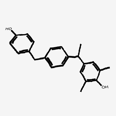 Cc1cc(C(C)c2ccc(Cc3ccc(O)cc3)cc2)cc(C)c1O